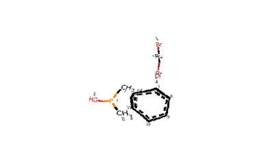 CP(C)O.[Br][Ru][Br].c1ccccc1